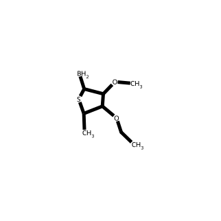 BC1SC(C)C(OCC)C1OC